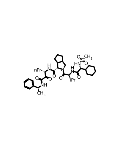 CCC[C@H](NC(=O)[C@@H]1C2CCCC2CN1C(=O)[C@@H](NC(=O)[C@@H](NS(C)(=O)=O)C1CCCCC1)C(C)C)C(=O)C(=O)N[C@@H](C)c1ccccc1